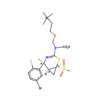 C[C@]1(c2cc(Br)ccc2F)N=C(N(COCC[Si](C)(C)C)C(=O)O)S[C@@]2(S(C)(=O)=O)C[C@H]21